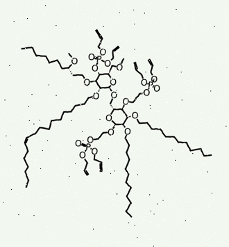 C=CCOP(=O)(OCC=C)OCCO[C@H]1O[C@H](CO[C@@H]2O[C@H](COC)[C@@H](OP(=O)(OCC=C)OCC=C)[C@H](OCC[C@H](CCCCCCC)OC)[C@H]2OCCCCCCCCCC/C=C\CCCCCC)[C@@H](OCCOP(=O)(OCC=C)OCC=C)[C@H](OCCCCCCCCCCCC)[C@H]1OCCCCCCCCCCCC